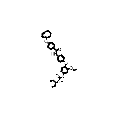 CCOc1cc(NC(=O)NC(CC)CC)ccc1Oc1ccc(NC(=O)c2ccc(OC34CCCC(CC3)N4C)cc2)cc1